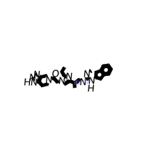 C=N/C(=N\C=C(/C)c1cn(CC(=O)N2CCc3[nH]nnc3C2)c(CC)n1)NC1Cc2ccccc2C1